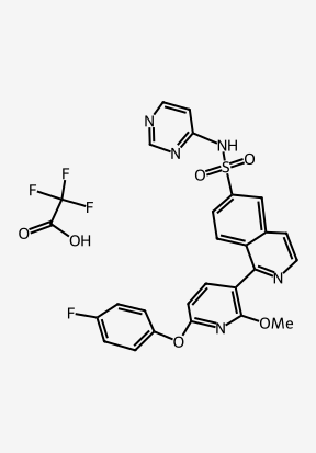 COc1nc(Oc2ccc(F)cc2)ccc1-c1nccc2cc(S(=O)(=O)Nc3ccncn3)ccc12.O=C(O)C(F)(F)F